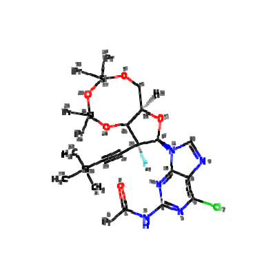 CC(C)C(=O)Nc1nc(Cl)c2ncn([C@@H]3O[C@@H]4CO[Si](C(C)C)(C(C)C)O[Si](C(C)C)(C(C)C)OC4[C@]3(F)C#C[Si](C)(C)C)c2n1